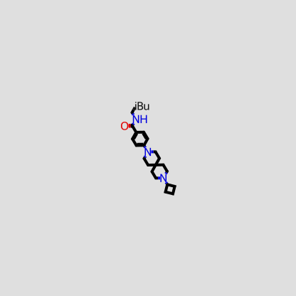 CCC(C)CNC(=O)c1ccc(N2CCC3(CC2)CCN(C2CCC2)CC3)cc1